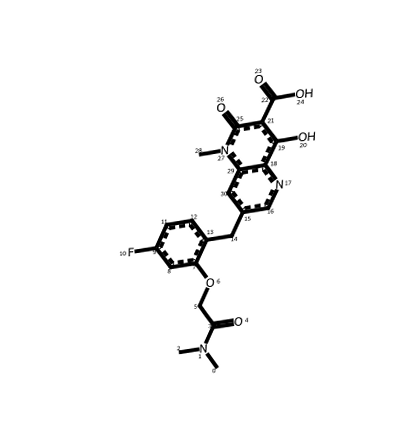 CN(C)C(=O)COc1cc(F)ccc1Cc1cnc2c(O)c(C(=O)O)c(=O)n(C)c2c1